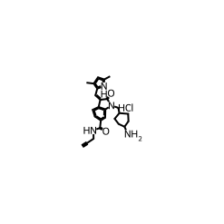 C#CCNC(=O)c1ccc2c(c1)N(CC1CCC(N)CC1)C(=O)/C2=C\c1[nH]c(C)cc1C.Cl